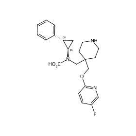 O=C(O)N(CC1(COc2ccc(F)cn2)CCNCC1)[C@@H]1C[C@H]1c1ccccc1